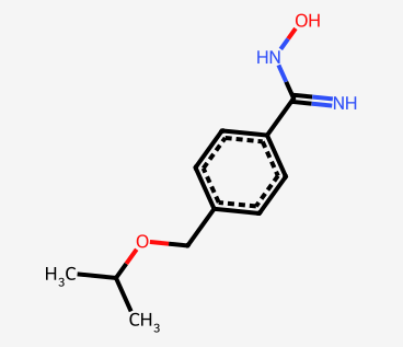 CC(C)OCc1ccc(C(=N)NO)cc1